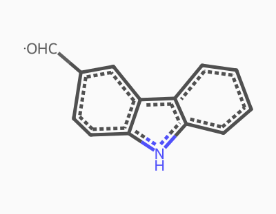 O=[C]c1ccc2[nH]c3ccccc3c2c1